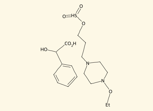 CCON1CCN(CCCO[SH](=O)=O)CC1.O=C(O)C(O)c1ccccc1